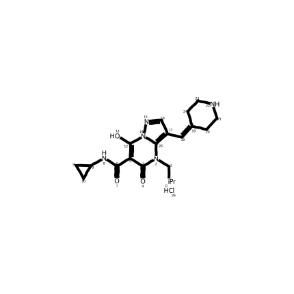 CC(C)Cn1c(=O)c(C(=O)NC2CC2)c(O)n2ncc(C=C3CCNCC3)c12.Cl